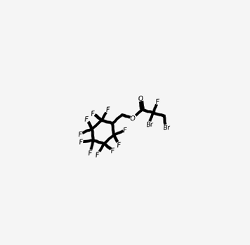 O=C(OCC1C(F)(F)C(F)(F)C(F)(F)C(F)(F)C1(F)F)C(F)(Br)CBr